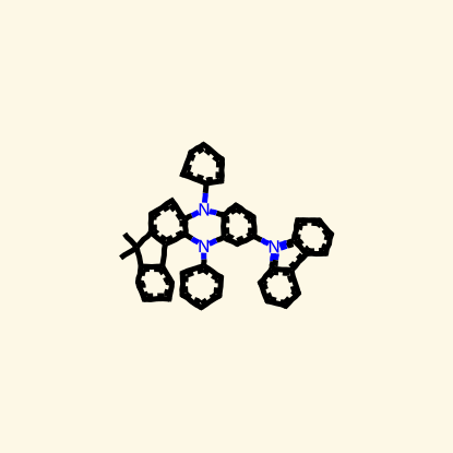 CC1(C)c2ccccc2-c2c1ccc1c2N(c2ccccc2)c2cc(-n3c4ccccc4c4ccccc43)ccc2N1c1ccccc1